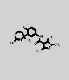 Cc1nn(C)c(C)c1C(=O)Nc1ccc(F)c(C2(C)CCSC(N)=N2)c1